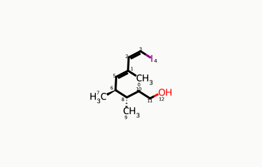 CC(/C=C\I)=C\[C@H](C)[C@@H](C)CCO